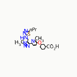 CCCc1nnc(NCc2c(-c3ccc(O[C@H]4CCC[C@H](C(=O)O)C4)c(C)n3)nnn2C)s1